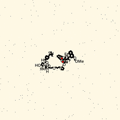 CCc1cccc2cc(OCOC)cc(-c3ncc4c(N5CC6CCC(C5)N6C(=O)OC(C)(C)C)nc(OC[C@@H]5CCCN5CCCOCCC(=O)N[C@H](C(=O)N5C[C@H](O)C[C@H]5C(=O)Nc5ccc(-c6scnc6C)cc5)C(C)(C)C)nc4c3F)c12